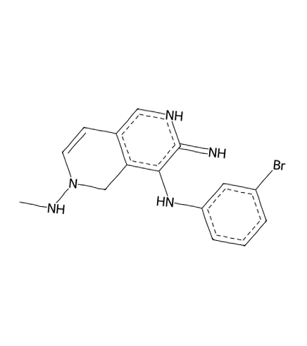 CNN1C=Cc2c[nH]c(=N)c(Nc3cccc(Br)c3)c2C1